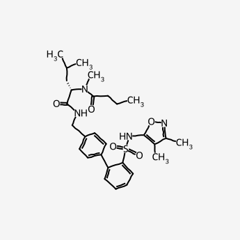 CCCC(=O)N(C)[C@@H](CC(C)C)C(=O)NCc1ccc(-c2ccccc2S(=O)(=O)Nc2onc(C)c2C)cc1